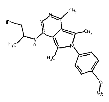 CCOc1ccc(-n2c(C)c3c(C)nnc(NC(C)CC(C)C)c3c2C)cc1